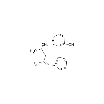 CC(=Cc1ccccc1)CC(C)C.Oc1ccccc1